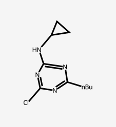 CCCCc1nc(Cl)nc(NC2CC2)n1